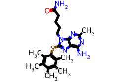 Cc1nc(N)c2nc(Sc3c(C)c(C)c(C)c(C)c3C)n(CCCCC(N)=O)c2n1